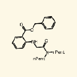 CCCCCN(CCCCC)C(=O)CNc1ccccc1C(=O)OCc1ccccc1